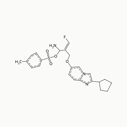 Cc1ccc(S(=O)(=O)OC(N)/C(=C\F)COc2ccc3nc(C4CCCC4)cn3c2)cc1